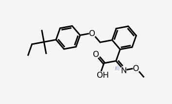 CCC(C)(C)c1ccc(OCc2ccccc2/C(=N\OC)C(=O)O)cc1